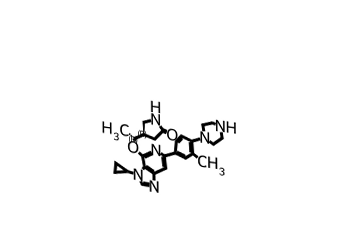 Cc1cc(-c2cc3ncn(C4CC4)c3c(O[C@H](C)[C@H]3CNC(=O)C3)n2)ccc1N1CCNCC1